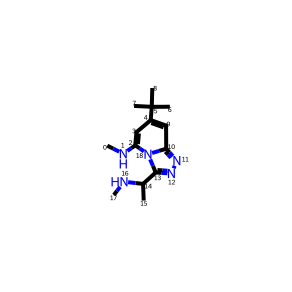 CNc1cc(C(C)(C)C)cc2nnc(C(C)NC)n12